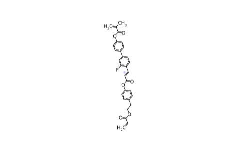 C=CC(=O)OCCc1ccc(OC(=O)/C=C/c2ccc(-c3ccc(OC(=O)C(=C)C)cc3)cc2F)cc1